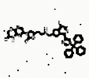 O=C1COc2ncc(N3CC(CCNCC4Cc5c(F)cnc(-c6cn(C(c7ccccc7)(c7ccccc7)c7ccccc7)cn6)c5C4)OC3=O)nc2N1